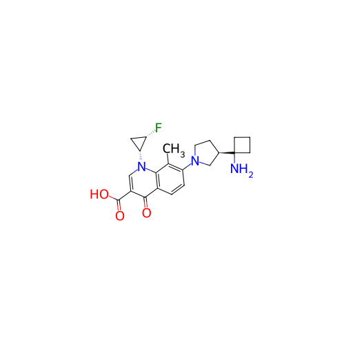 Cc1c(N2CC[C@@H](C3(N)CCC3)C2)ccc2c(=O)c(C(=O)O)cn([C@@H]3C[C@@H]3F)c12